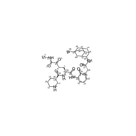 CCNC(=O)C(=O)CC[C@H](NC(=O)[C@@H]1CCCNC1)C(=O)Nc1cccn(CC(=O)NC2C3CC4CC2CC(Br)(C4)C3)c1=O